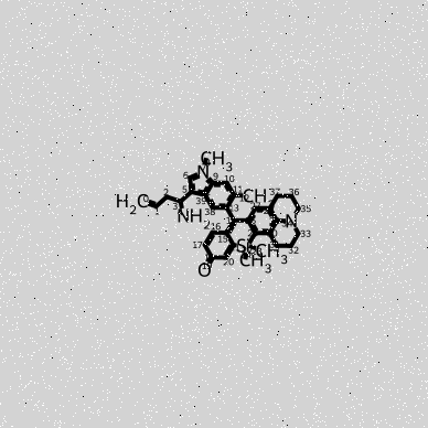 C=CCC(N)c1cn(C)c2cc(C)c(C3=C4C=CC(=O)C=C4[Si](C)(C)c4c3cc3c5c4CCCN5CCC3)cc12